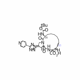 CC(C)(C)OC(=O)N[C@H]1CCCCC/C=C\[C@@H]2C[C@@]2(C(=O)O)NC(=O)[C@@H]2C[C@@H](n3nnc(-c4ccncc4)n3)CN2C1=O